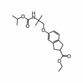 CCOC(=O)C1Cc2ccc(OCC(C)(C)NC(=O)OC(C)C)cc2C1